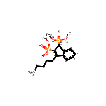 CCOP(=O)(OCC)C1=C(CCCCNC)c2ccccc2C1P(=O)(OCC)OCC